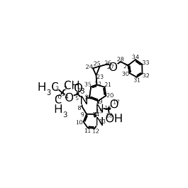 CC(C)(C)OC(=O)N1Cc2cccnc2N(C(=O)O)c2ccc(C3CC3COCc3ccccc3)cc21